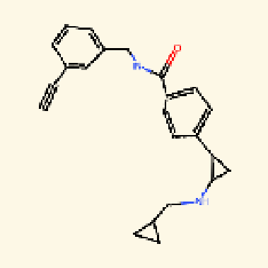 C#Cc1cccc(CNC(=O)c2ccc(C3CC3NCC3CC3)cc2)c1